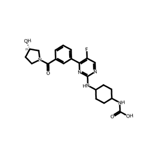 O=C(O)NC1CCC(Nc2ncc(F)c(-c3cccc(C(=O)N4CC[C@H](O)C4)c3)n2)CC1